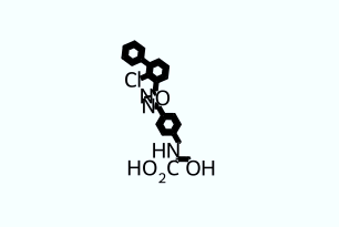 O=C(O)C(CO)NCc1ccc(-c2nnc(-c3cccc(-c4ccccc4)c3Cl)o2)cc1